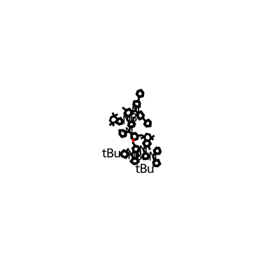 Cc1cc2c3c(c1)N(c1ccc4c(c1)C(C)(C)CCC4(C)C)c1cc(N(c4ccccc4)c4cccc(CC5(C)CCC(C)(C)c6cc(C)c(N7c8cc(N(c9ccccc9)c9ccccc9)ccc8B8c9cc(C(C)(C)C)ccc9N(c9ccc(C(C)(C)C)cc9C)c9cc(C)cc7c98)cc65)c4)ccc1B3c1cc(-c3ccccc3)ccc1N2c1ccc(-c2ccccc2)cc1